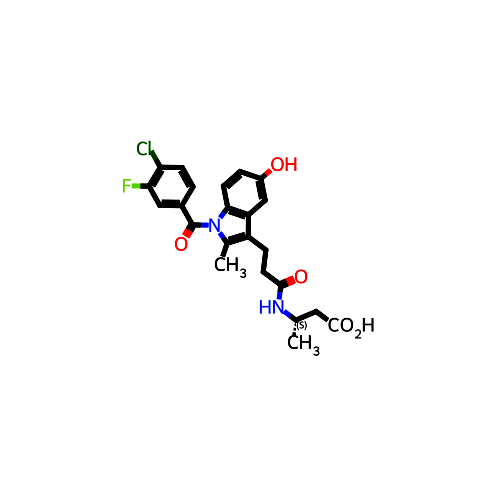 Cc1c(CCC(=O)N[C@@H](C)CC(=O)O)c2cc(O)ccc2n1C(=O)c1ccc(Cl)c(F)c1